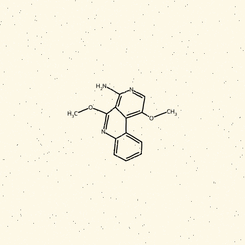 COc1nc2ccccc2c2c(OC)cnc(N)c12